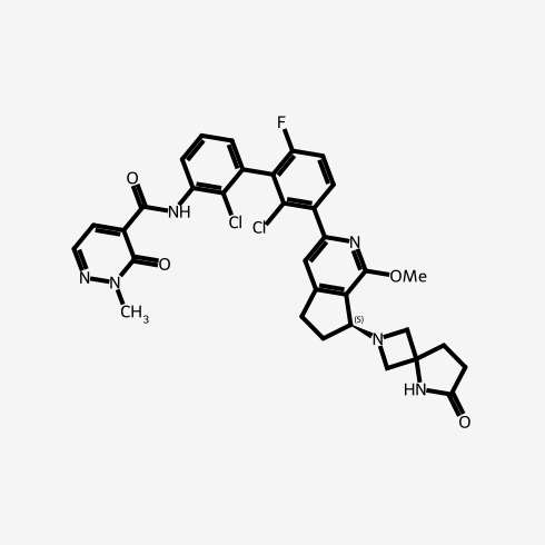 COc1nc(-c2ccc(F)c(-c3cccc(NC(=O)c4ccnn(C)c4=O)c3Cl)c2Cl)cc2c1[C@@H](N1CC3(CCC(=O)N3)C1)CC2